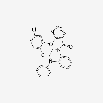 O=C(c1cccnc1Oc1cc(Cl)ccc1Cl)N1CCN(c2ccccc2)c2ccccc21